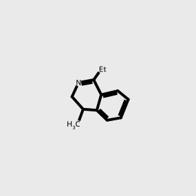 CCC1=NCC(C)c2ccccc21